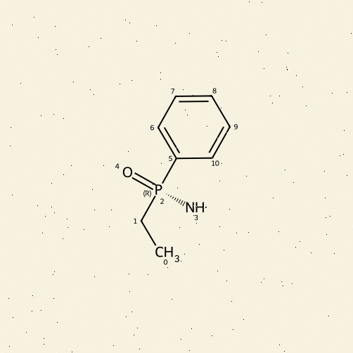 CC[P@@]([NH])(=O)c1ccccc1